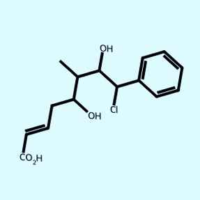 CC(C(O)CC=CC(=O)O)C(O)C(Cl)c1ccccc1